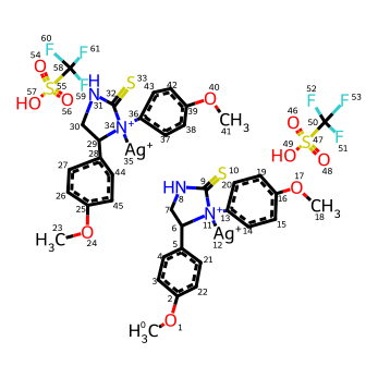 COc1ccc(C2CNC(=S)[N+]2([Ag+])c2ccc(OC)cc2)cc1.COc1ccc(C2CNC(=S)[N+]2([Ag+])c2ccc(OC)cc2)cc1.O=S(=O)(O)C(F)(F)F.O=S(=O)(O)C(F)(F)F